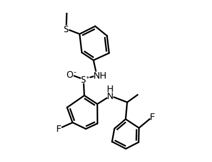 CSc1cccc(N[S+]([O-])c2cc(F)ccc2NC(C)c2ccccc2F)c1